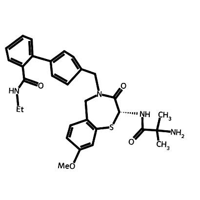 CCNC(=O)c1ccccc1-c1ccc(CN2Cc3ccc(OC)cc3S[C@@H](NC(=O)C(C)(C)N)C2=O)cc1